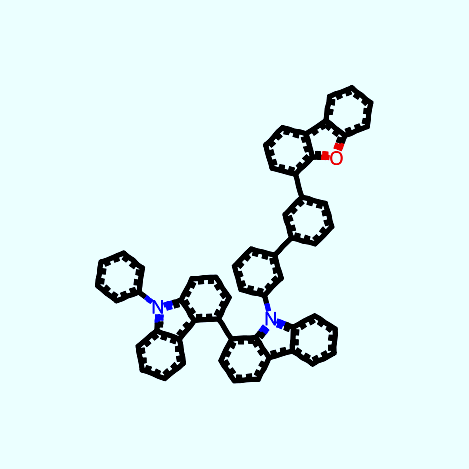 c1ccc(-n2c3ccccc3c3c(-c4cccc5c6ccccc6n(-c6cccc(-c7cccc(-c8cccc9c8oc8ccccc89)c7)c6)c45)cccc32)cc1